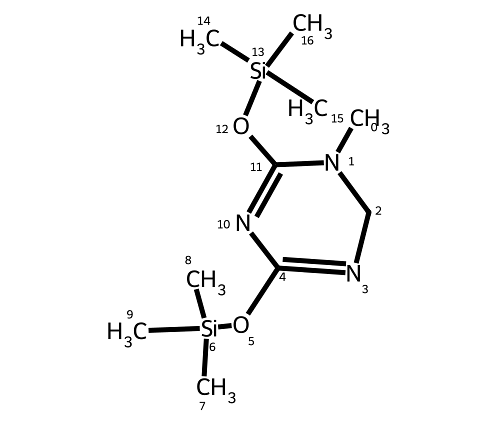 CN1CN=C(O[Si](C)(C)C)N=C1O[Si](C)(C)C